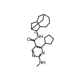 CNc1ncc(C(=O)N[C@H]2C3CC4CCCC2C(C4)C3)c(C2CCCC2)n1